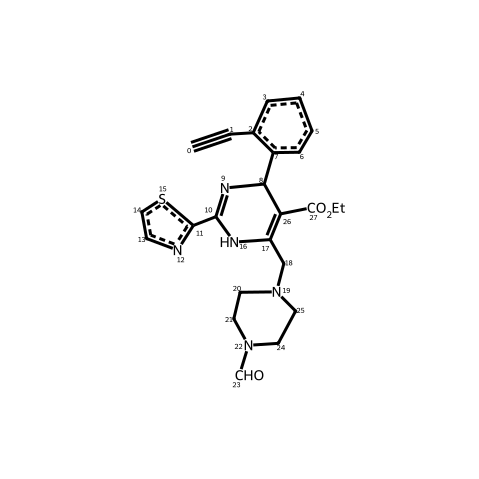 C#Cc1ccccc1C1N=C(c2nccs2)NC(CN2CCN(C=O)CC2)=C1C(=O)OCC